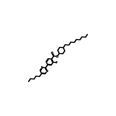 CCCCCCCCCC1CCC(OC(=O)c2ccc(-c3ncc(CCCCC)cn3)cc2F)CC1